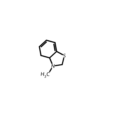 CN1CSC2=CC=CCC21